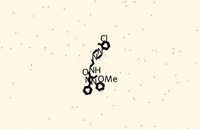 COc1ccccc1-n1c(-c2ccccc2)nc(C(=O)NCCCN2CCN(c3cccc(Cl)c3C)CC2)c1C